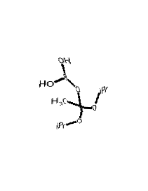 CC(C)OC(C)(OB(O)O)OC(C)C